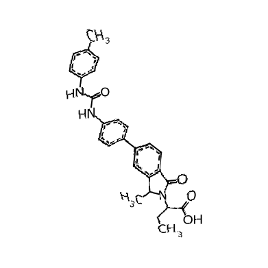 CCC(C(=O)O)N1C(=O)c2ccc(-c3ccc(NC(=O)Nc4ccc(C)cc4)cc3)cc2C1C